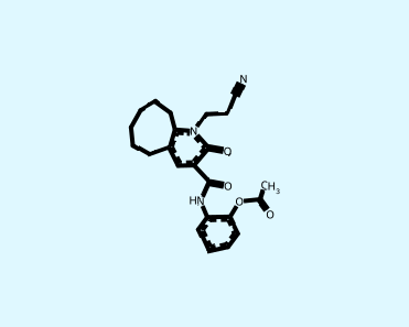 CC(=O)Oc1ccccc1NC(=O)c1cc2c(n(CCC#N)c1=O)CCCCCC2